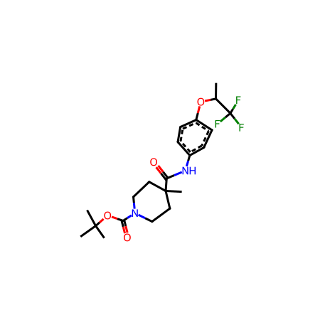 CC(Oc1ccc(NC(=O)C2(C)CCN(C(=O)OC(C)(C)C)CC2)cc1)C(F)(F)F